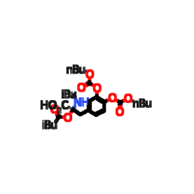 CCCCOC(=O)Oc1ccc(C[C@](NC(C)CC)(OC(=O)C(C)CC)C(=O)O)cc1OC(=O)OCCCC